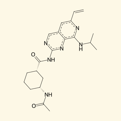 C=Cc1cc2cnc(NC(=O)[C@H]3CCC[C@@H](NC(C)=O)C3)nc2c(NC(C)C)n1